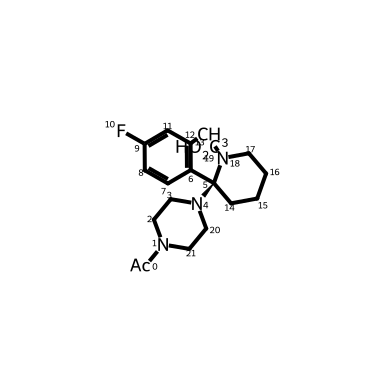 CC(=O)N1CCN([C@]2(c3ccc(F)cc3C)CCCCN2C(=O)O)CC1